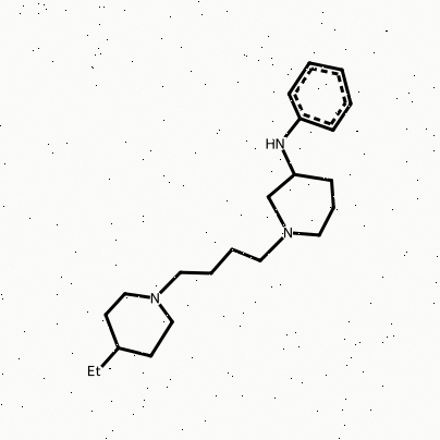 CCC1CCN(CCCCN2CCCC(Nc3ccccc3)C2)CC1